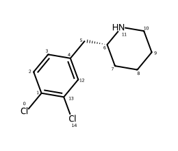 Clc1ccc(C[C@H]2CCCCN2)cc1Cl